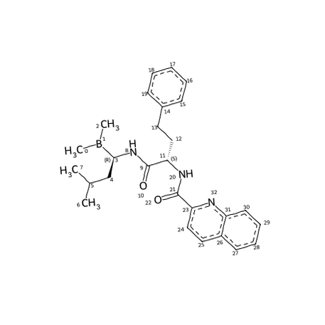 CB(C)[C@H](CC(C)C)NC(=O)[C@H](CCc1ccccc1)NC(=O)c1ccc2ccccc2n1